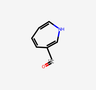 O=[13CH]C1=CNC=CC=C1